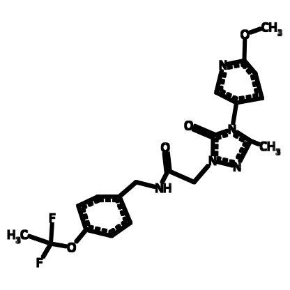 COc1ccc(-n2c(C)nn(CC(=O)NCc3ccc(OC(C)(F)F)cc3)c2=O)cn1